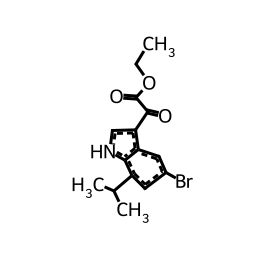 CCOC(=O)C(=O)c1c[nH]c2c(C(C)C)cc(Br)cc12